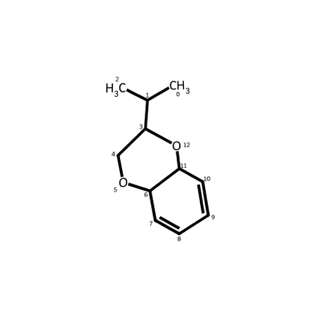 CC(C)C1COC2C=CC=CC2O1